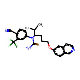 CC(C)C(CCCOc1ccc2cnccc2c1)N(C(N)=S)c1ccc(C#N)c(C(F)(F)F)c1